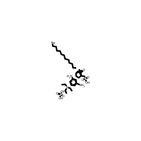 CC1(C)C2CCC1(CS(=O)(=O)O)C(=O)C2.CCCCCCCCCCC[CH2][Na].CCN(CC)CC.Nc1cccc(N)c1.O=S(=O)(O)O